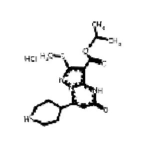 CSc1nn2c(C3CCNCC3)cc(=O)[nH]c2c1C(=O)OC(C)C.Cl